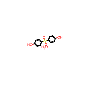 O.O=S(=O)(c1ccc(O)cc1)c1ccc(O)cc1